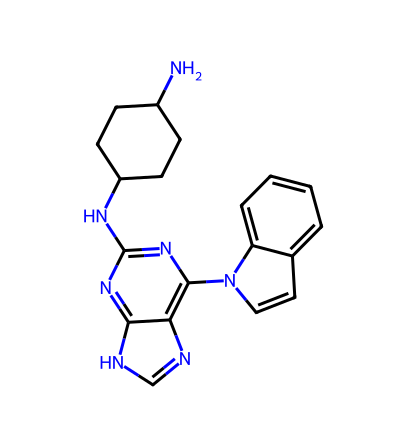 NC1CCC(Nc2nc(-n3ccc4ccccc43)c3nc[nH]c3n2)CC1